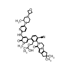 CC(O)OCc1c(-c2cc(Nc3ccc(N4CCN(C5COC5)C[C@@H]4C)cn3)c(=O)n(C)c2)ccc(C#N)c1N1CCn2c(cc3c2CC(C)(C)C3)C1=O